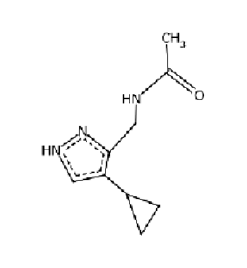 CC(=O)NCc1n[nH]cc1C1CC1